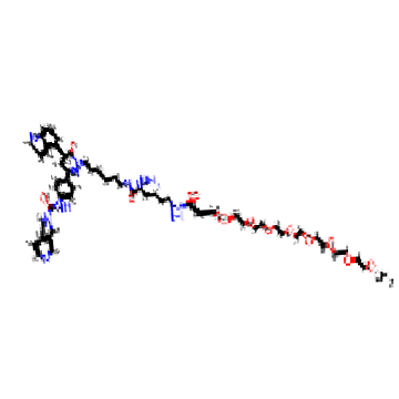 COCCOCCOCCOCCOCCOCCOCCOCCC(=O)NCCCC[C@H](N)C(=O)NCCCCCCN1N=C(c2ccc(NC(=O)N3Cc4ccncc4C3)cc2)CC(c2cccc3ncccc23)C1=O